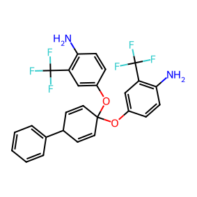 Nc1ccc(OC2(Oc3ccc(N)c(C(F)(F)F)c3)C=CC(c3ccccc3)C=C2)cc1C(F)(F)F